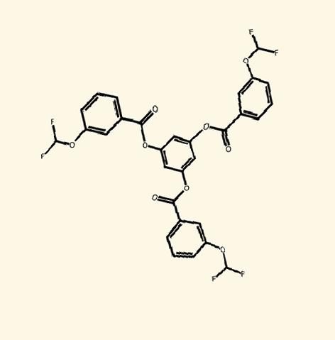 O=C(Oc1cc(OC(=O)c2cccc(OC(F)F)c2)cc(OC(=O)c2cccc(OC(F)F)c2)c1)c1cccc(OC(F)F)c1